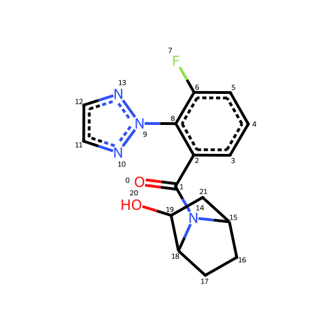 O=C(c1cccc(F)c1-n1nccn1)N1C2CCC1C(O)C2